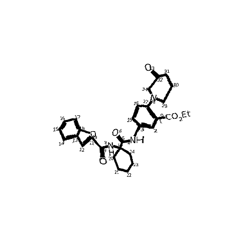 CCOC(=O)c1cc(NC(=O)C2(NC(=O)c3cc4ccccc4o3)CCCCC2)ccc1N1CCCC(=O)C1